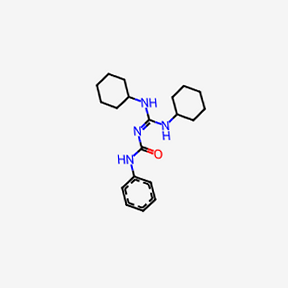 O=C(N=C(NC1CCCCC1)NC1CCCCC1)Nc1ccccc1